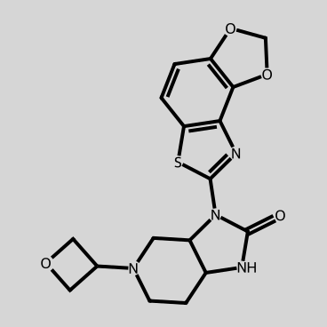 O=C1NC2CCN(C3COC3)CC2N1c1nc2c3c(ccc2s1)OCO3